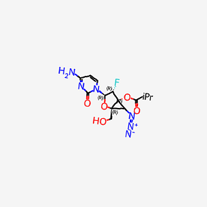 CC(C)C(=O)O[C@]12C(N=[N+]=[N-])[C@]1(CO)O[C@@H](n1ccc(N)nc1=O)[C@@H]2F